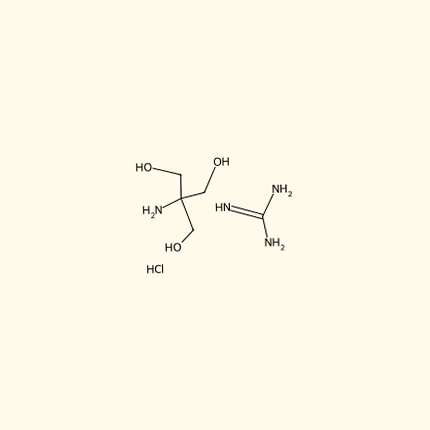 Cl.N=C(N)N.NC(CO)(CO)CO